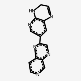 C1=Nc2cc(-c3cnc4cnccc4n3)cnc2NC1